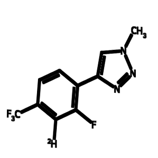 [2H]c1c(C(F)(F)F)ccc(-c2cn(C)nn2)c1F